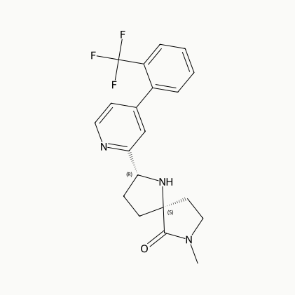 CN1CC[C@@]2(CC[C@H](c3cc(-c4ccccc4C(F)(F)F)ccn3)N2)C1=O